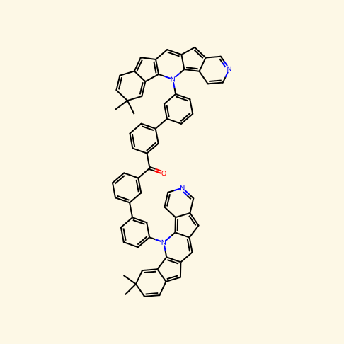 CC1(C)C=Cc2cc3cc4cc5cnccc5c4n(-c4cccc(-c5cccc(C(=O)c6cccc(-c7cccc(-n8c9c%10c(cc9cc9cc%11cnccc%11c98)C=CC(C)(C)C=%10)c7)c6)c5)c4)c3c2=C1